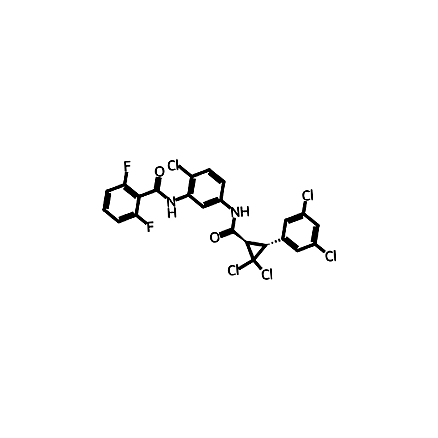 O=C(Nc1cc(NC(=O)[C@H]2[C@H](c3cc(Cl)cc(Cl)c3)C2(Cl)Cl)ccc1Cl)c1c(F)cccc1F